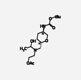 CC(=O)OCCN(C[C@@H]1CC[C@@H](NC(=O)OC(C)(C)C)CO1)C(C)O